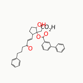 O=C(O)CC1(OC(=O)c2cccc(-c3ccccc3)c2)C(O)CCC1C=CC(=O)CCCc1ccccc1